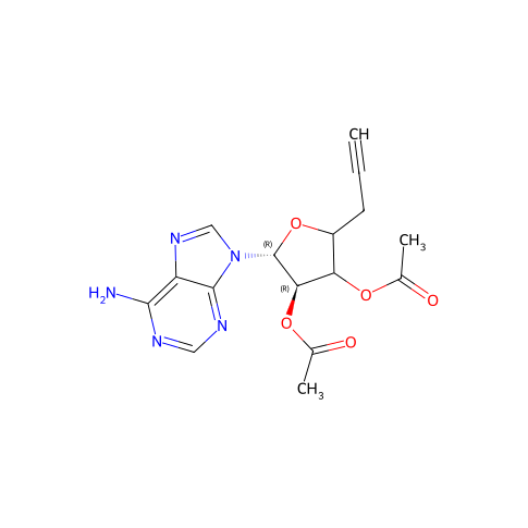 C#CCC1O[C@@H](n2cnc3c(N)ncnc32)[C@H](OC(C)=O)C1OC(C)=O